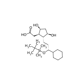 CC(C)(C)[Si](C)(C)O[C@H](CC[C@@H]1[C@@H](CC(=O)O)[C@@H](O)C[C@H]1O)C1CCCCC1